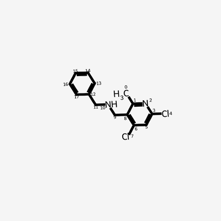 Cc1nc(Cl)cc(Cl)c1CNCc1ccccc1